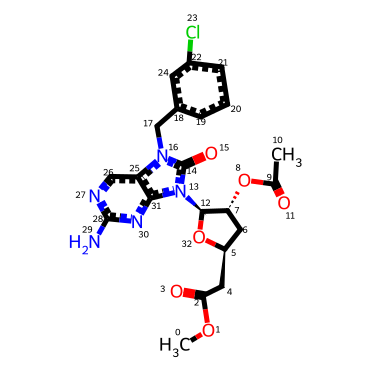 COC(=O)C[C@@H]1C[C@@H](OC(C)=O)[C@H](n2c(=O)n(Cc3cccc(Cl)c3)c3cnc(N)nc32)O1